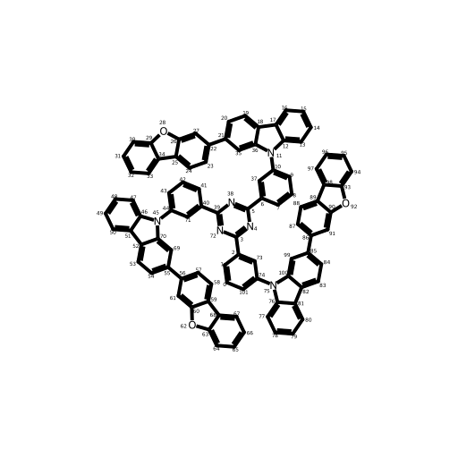 c1cc(-c2nc(-c3cccc(-n4c5ccccc5c5ccc(-c6ccc7c(c6)oc6ccccc67)cc54)c3)nc(-c3cccc(-n4c5ccccc5c5ccc(-c6ccc7c(c6)oc6ccccc67)cc54)c3)n2)cc(-n2c3ccccc3c3ccc(-c4ccc5c(c4)oc4ccccc45)cc32)c1